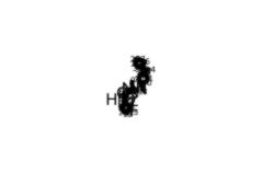 Cc1nc(S(=O)(=O)Nc2cccc(F)n2)sc1N(C)C1CCN([C@H](C)c2ccccc2)CC1